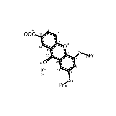 CC(C)Sc1cc(SC(C)C)c2oc3ccc(C(=O)[O-])cc3c(=O)c2c1.[K+]